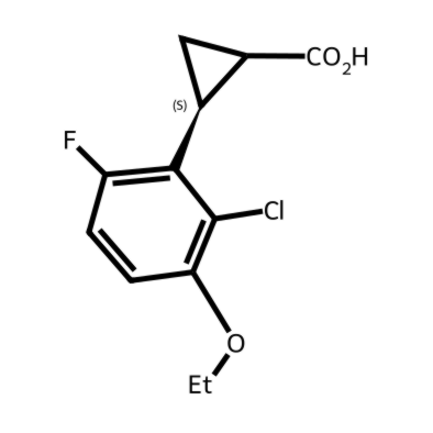 CCOc1ccc(F)c([C@H]2CC2C(=O)O)c1Cl